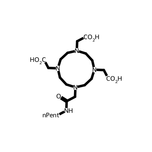 CCCCCNC(=O)CN1CCN(CC(=O)O)CCN(CC(=O)O)CCN(CC(=O)O)CC1